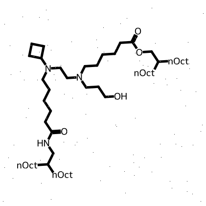 CCCCCCCCC(CCCCCCCC)CNC(=O)CCCCCN(CCN(CCCO)CCCCCC(=O)OCC(CCCCCCCC)CCCCCCCC)C1CCC1